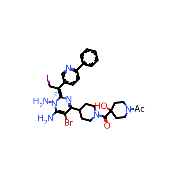 CC(=O)N1CCC(O)(C(=O)N2CCC(C3=N/C(=C(/CI)c4ccc(-c5ccccc5)nc4)N(N)C(N)=C3Br)CC2)CC1